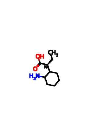 CC[C@H](C(=O)O)C1CCCCC1N